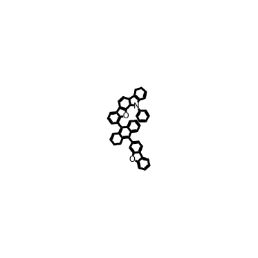 C1=CC2=C(CC1)C1C=Cc3c(oc4c(-c5c6c(c(-c7ccc8c(c7)oc7ccccc78)c7ccccc57)CCC=C6)cccc34)C1N2c1ccccc1